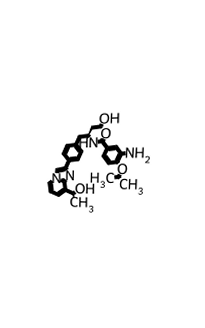 CC(C)Oc1ccc(C(=O)N[C@H](CCO)Cc2ccc(-c3cn4cccc([C@@H](C)O)c4n3)cc2)cc1N